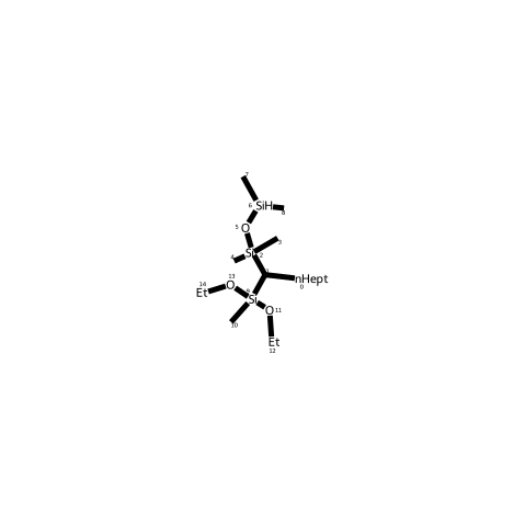 CCCCCCCC([Si](C)(C)O[SiH](C)C)[Si](C)(OCC)OCC